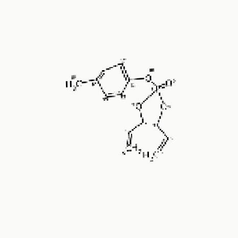 C=CCOP(=O)(OCC=C)Oc1ccc(C)cc1